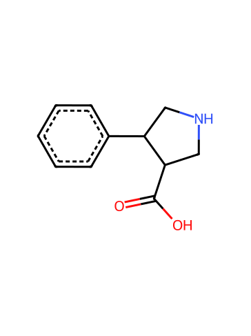 O=C(O)C1CNCC1c1ccccc1